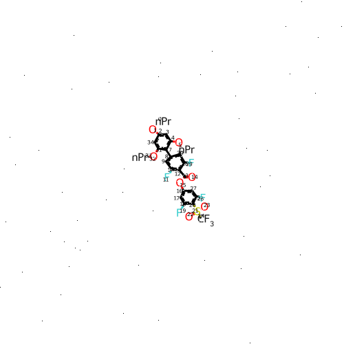 CCCOc1cc(OCCC)c(-c2cc(F)c(C(=O)Oc3cc(F)c(S(=O)(=O)C(F)(F)F)c(F)c3)c(F)c2)c(OCCC)c1